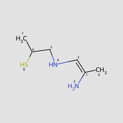 CC(N)=CNCC(C)S